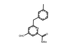 CNC(=O)c1cc(C=O)cc(Cc2cccc(C)c2)n1